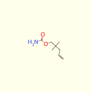 C=CCC(C)(C)COC(N)=O